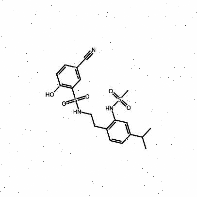 CC(C)c1ccc(CCNS(=O)(=O)c2cc(C#N)ccc2O)c(NS(C)(=O)=O)c1